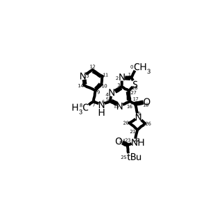 Cc1nc2nc(NC(C)c3cccnc3)nc(C(=O)N3CC(NC(=O)C(C)(C)C)C3)c2s1